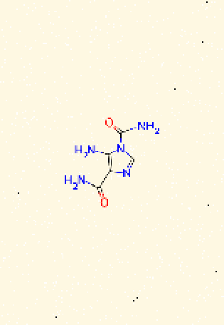 NC(=O)c1ncn(C(N)=O)c1N